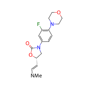 CNC=C[C@H]1CN(c2ccc(N3CCOCC3)c(F)c2)C(=O)O1